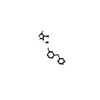 Cc1c[nH]c2nc(SCc3cccc(C(=O)c4ccc(Cl)cc4)c3)[nH]c(=O)c12